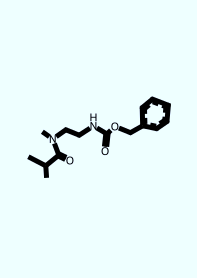 CC(C)C(=O)N(C)CCNC(=O)OCc1ccccc1